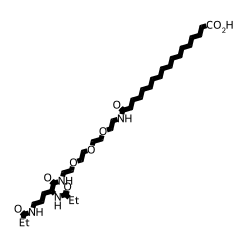 CCC(=O)NCCCC(NC(=O)CC)C(=O)NCCOCCOCCOCCNC(=O)CCCCCCCCCCCCCCCCC(=O)O